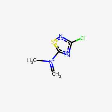 C=[N+](C)c1nc(Cl)ns1